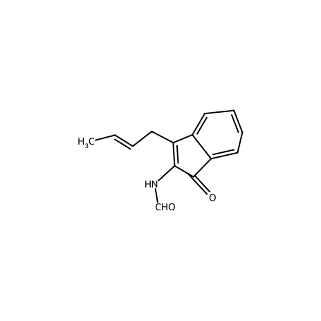 CC=CCC1=C(NC=O)C(=O)c2ccccc21